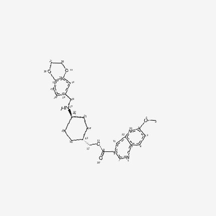 COc1ccc2ncc(C(=O)OC[C@H]3CC[C@H](NCc4ccc5c(c4)OCCO5)CC3)cc2n1